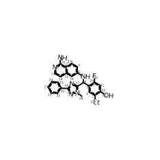 CCc1cc(C(Nc2ccc3c(N)nccc3c2)c2nc(-c3ccccc3)nn2C)c(F)cc1O